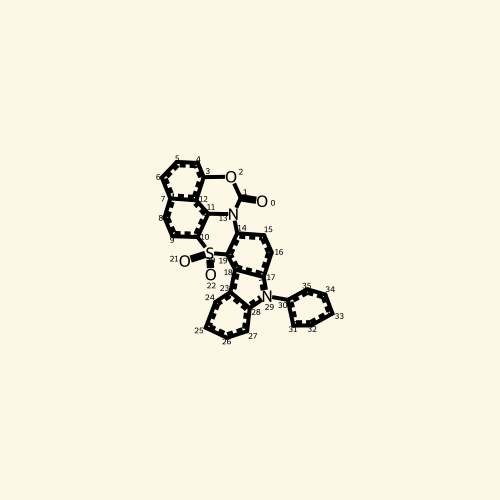 O=C1Oc2cccc3ccc4c(c23)N1c1ccc2c(c1S4(=O)=O)c1ccccc1n2-c1ccccc1